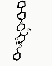 CC(C)C[C@@H](CNOCc1ccccc1)C(=O)N1CCN(c2ccc(-c3ccccc3)cc2)CC1